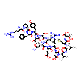 CSCC[C@H](NC(=O)[C@H](CC(C)C)NC(=O)[C@@H](NC(=O)[C@H](CC(=O)O)NC(=O)[C@H](CCCNC(=N)N)NC(=O)[C@H](CCC(=O)O)NC(=O)[C@H](CCC(N)=O)NC(=O)[C@@H](NC(=O)[C@H](CO)NC(=O)[C@@H](NC(=O)[C@H](Cc1ccc(O)cc1)NC(=O)[C@H](Cc1ccccc1)NC(=O)[C@@H]1CCCN1C(=O)[C@@H](N)CCCNC(=N)N)[C@@H](C)O)C(C)C)C(C)C)C(=O)N[C@H](C(=O)O)[C@@H](C)O